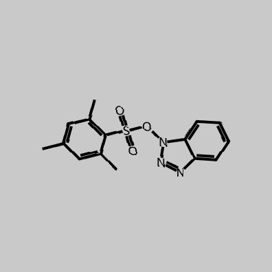 Cc1cc(C)c(S(=O)(=O)On2nnc3ccccc32)c(C)c1